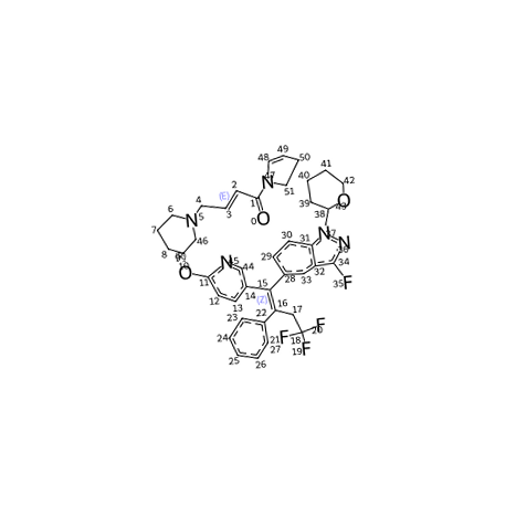 O=C(/C=C/CN1CCC[C@@H](Oc2ccc(/C(=C(/CC(F)(F)F)c3ccccc3)c3ccc4c(c3)c(F)nn4C3CCCCO3)cn2)C1)N1C=CCC1